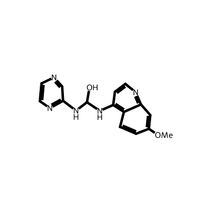 COc1ccc2c(NC(O)Nc3cnccn3)ccnc2c1